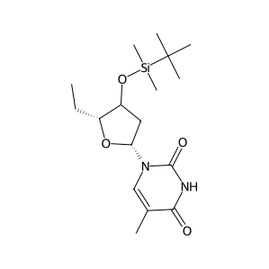 CC[C@H]1O[C@@H](n2cc(C)c(=O)[nH]c2=O)CC1O[Si](C)(C)C(C)(C)C